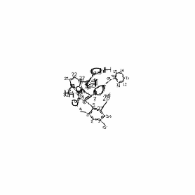 Cc1cc(C)c(C2=C(OCc3ccccc3)[C@H]3[C@@H](C2=O)[C@@H]2C=C[C@@]3(CO)O2)c(C)c1